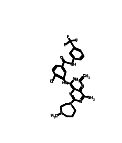 C=C/N=C1/C(N)=NC(N2CCCN(C)CC2)=N/C1=C(/N)Nc1cc(C(=O)Nc2cccc(C(F)(F)F)c2)ccc1Cl